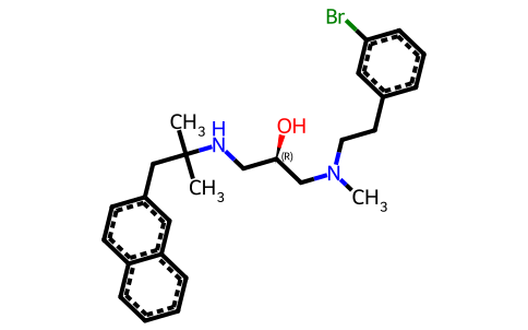 CN(CCc1cccc(Br)c1)C[C@H](O)CNC(C)(C)Cc1ccc2ccccc2c1